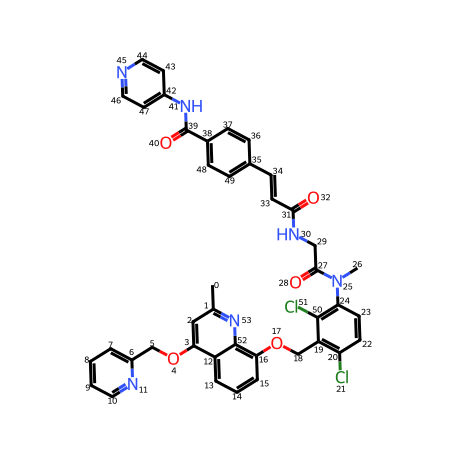 Cc1cc(OCc2ccccn2)c2cccc(OCc3c(Cl)ccc(N(C)C(=O)CNC(=O)C=Cc4ccc(C(=O)Nc5ccncc5)cc4)c3Cl)c2n1